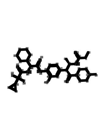 CCC(=O)N[C@H](C)[C@@H](C(=O)N1CCN(C)CC1)c1ccc(NC(=O)[C@@H](NC(=O)C(F)(F)C2CC2)C2CCCCC2)c(F)c1